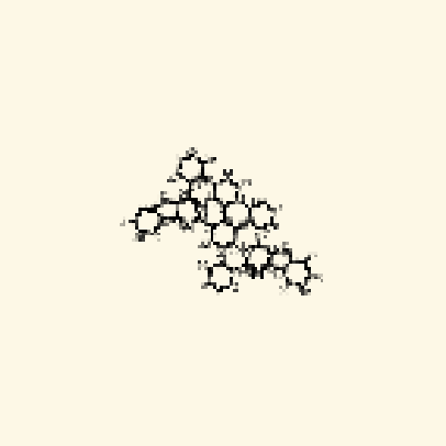 c1ccc(-c2nc(-c3cccc(-c4ccccc4-c4ccccc4-c4nc(-c5ccccc5)c5sc6ccccc6c5n4)c3)c3sc4ccccc4c3n2)cc1